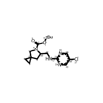 CC(C)(C)OC(=O)N1CC2(CC2)CC1CNc1ncc(Cl)cn1